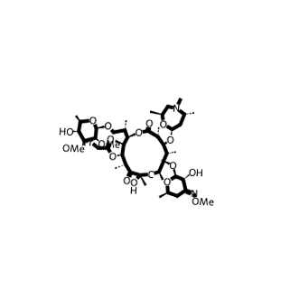 CON=C1C[C@@H](C)O[C@@H](O[C@@H]2[C@@H](C)[C@H](O[C@H]3C[C@@H](C)N(C)C[C@H](C)O3)[C@@H](C)C(=O)O[C@H]([C@@H](C)CO[C@@H]3O[C@H](C)[C@@H](O)[C@@H](OC)[C@H]3OC)[C@H](C)[C@@H](OC(=O)CC(C)C)[C@@H](C)C(=O)[C@@](C)(O)C[C@@H]2C)[C@@H]1O